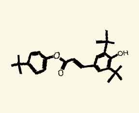 CC(C)(C)c1ccc(OC(=O)C=Cc2cc(C(C)(C)C)c(O)c(C(C)(C)C)c2)cc1